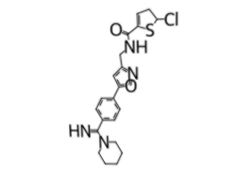 N=C(c1ccc(-c2cc(CNC(=O)C3=CCC(Cl)S3)no2)cc1)N1CCCCC1